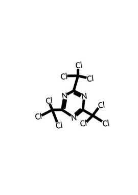 ClC(Cl)(Cl)c1nc(C(Cl)(Cl)Cl)nc(C(Cl)(Cl)Cl)n1